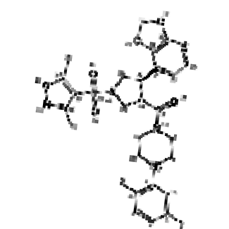 Cc1ccc(C)c(N2CCN(C(=O)C3CN(S(=O)(=O)c4c(C)noc4C)C[C@H]3c3cccc4c3OCO4)CC2)c1